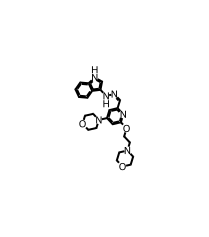 C(=N/Nc1c[nH]c2ccccc12)/c1cc(N2CCOCC2)cc(OCCN2CCOCC2)n1